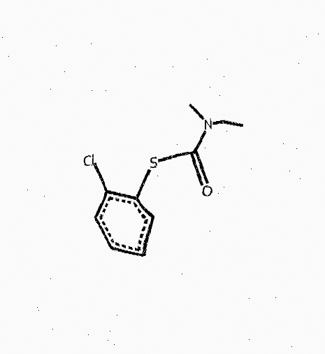 CN(C)C(=O)Sc1ccccc1Cl